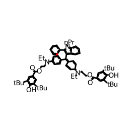 CCCn1c(-c2ccccc2)c(C(=C2C=CC(=[N+](CC)CCOC(=O)c3cc(C(C)(C)C)c(O)c(C(C)(C)C)c3)C=C2)c2ccc(N(CC)CCOC(=O)c3cc(C(C)(C)C)c(O)c(C(C)(C)C)c3)cc2)c2ccccc21